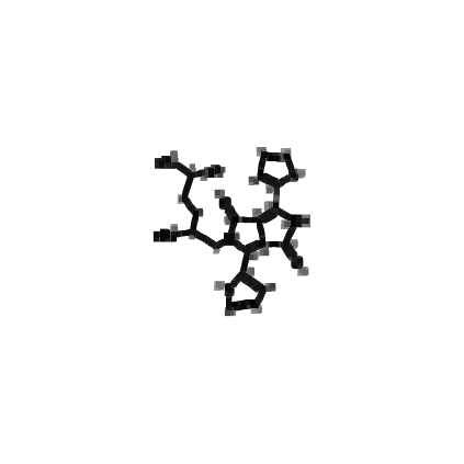 CCCCC(CCC)CCC(CCCC)CN1C(=O)C2=C(c3cccs3)NC(=O)C2=C1c1cccs1